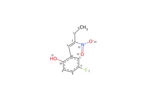 CCC(=Cc1cc(F)ccc1O)[N+](=O)[O-]